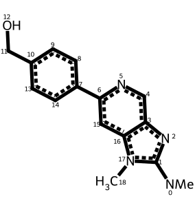 CNc1nc2cnc(-c3ccc(CO)cc3)cc2n1C